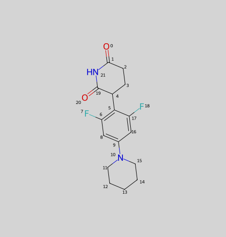 O=C1CCC(c2c(F)cc(N3CCCCC3)cc2F)C(=O)N1